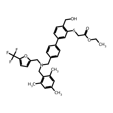 CCOC(=O)CSc1cc(-c2ccc(CN(Cc3ccc(C(F)(F)F)o3)Cc3c(C)cc(C)cc3C)cc2)ccc1CO